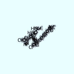 CC(C)NCC(O)c1ccc(O)c(O)c1.CCC(C)n1ncn(-c2ccc(N3CCN(c4ccc(OC[C@H]5CO[C@](Cn6cncn6)(c6ccc(Cl)cc6Cl)O5)cc4)CC3)cc2)c1=O.Clc1ccc(COC(Cn2ccnc2)c2ccc(Cl)cc2Cl)cc1